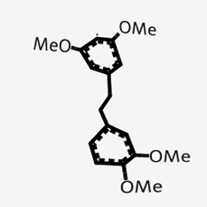 COc1[c]c(OC)cc(CCc2ccc(OC)c(OC)c2)c1